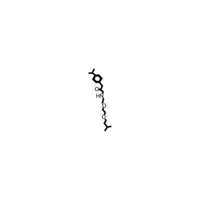 CC(C)CCOCCOCCNCC(=O)Cc1ccc(C(C)C)cc1